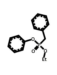 CCOP(=O)(Cc1ccccc1)Oc1ccccc1